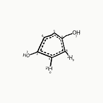 [2H]c1c(O)ccc(O)c1[2H]